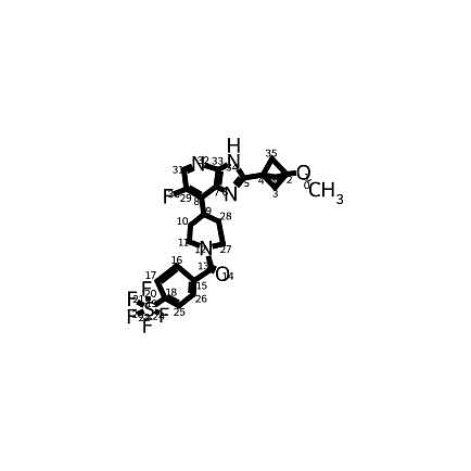 COC12CC(c3nc4c(C5CCN(C(=O)c6ccc(S(F)(F)(F)(F)F)cc6)CC5)c(F)cnc4[nH]3)(C1)C2